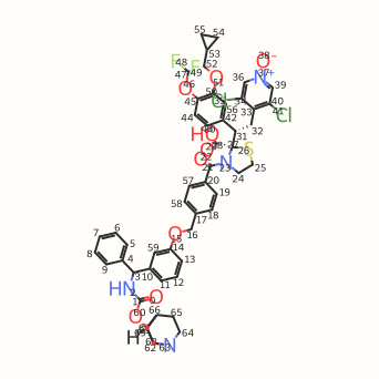 O=C(NC(c1ccccc1)c1cccc(OCc2ccc(C(=O)N3CCS[C@]3(C(=O)O)[C@@H](Cc3c(Cl)c[n+]([O-])cc3Cl)c3ccc(OC(F)F)c(OCC4CC4)c3)cc2)c1)O[C@H]1CN2CCC1CC2